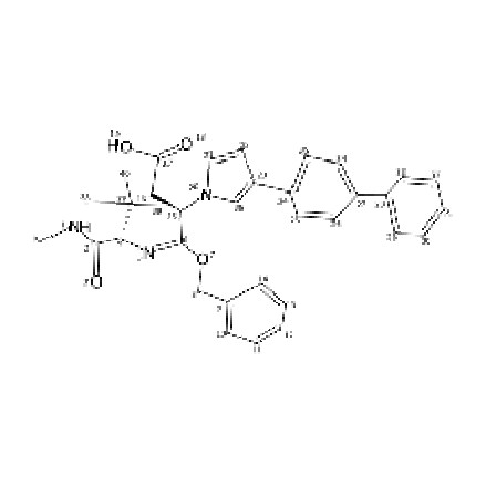 CNC(=O)[C@@H](N=C(OCc1ccccc1)[C@@H](CC(=O)O)n1ccc(-c2ccc(-c3ccccc3)cc2)c1)C(C)(C)C